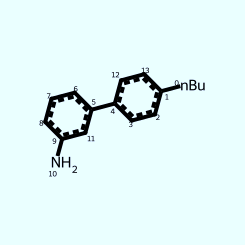 CCCCc1ccc(-c2cccc(N)c2)cc1